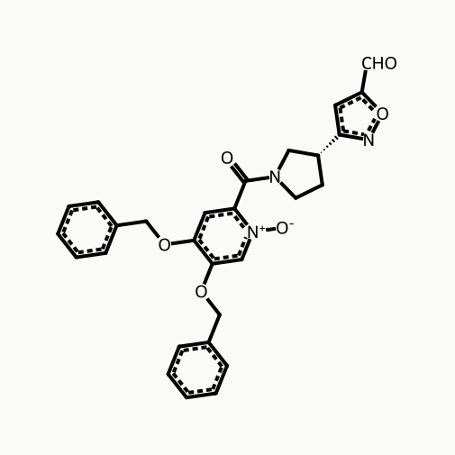 O=Cc1cc([C@@H]2CCN(C(=O)c3cc(OCc4ccccc4)c(OCc4ccccc4)c[n+]3[O-])C2)no1